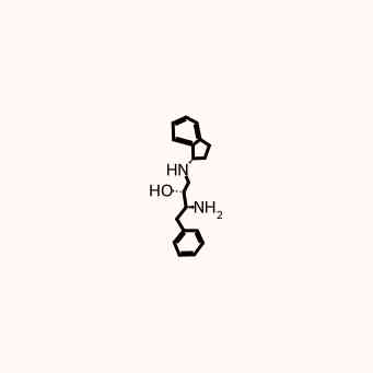 N[C@@H](Cc1ccccc1)[C@H](O)CN[C@H]1CCc2ccccc21